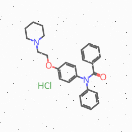 Cl.O=C(c1ccccc1)N(c1ccccc1)c1ccc(OCCN2CCCCC2)cc1